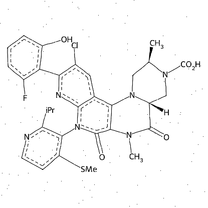 CSc1ccnc(C(C)C)c1-n1c(=O)c2c(c3cc(Cl)c(-c4c(O)cccc4F)nc31)N1C[C@@H](C)N(C(=O)O)C[C@@H]1C(=O)N2C